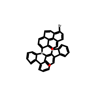 Brc1ccc2ccc3c(N(c4ccccc4-c4ccccc4)c4cccc5c4oc4ccccc45)ccc4ccc1c2c43